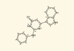 O=c1cc(-c2c[nH]c3ncccc23)nc(Nc2ccccc2)[nH]1